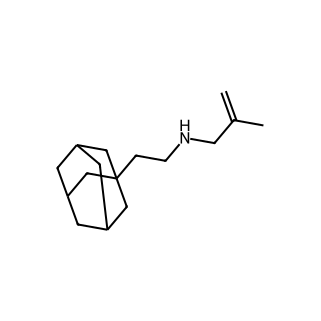 C=C(C)CNCCC12CC3CC(CC(C3)C1)C2